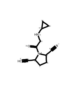 C#CC1CCC(C#N)N1C(=O)CNC1CC1